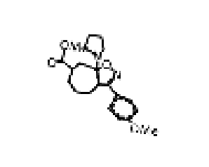 COC(=O)C1CCCC2C(c3ccc(OC)cc3)=NOC2(N2CCCC2)C1